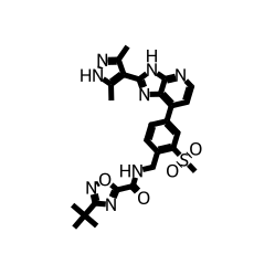 Cc1n[nH]c(C)c1-c1nc2c(-c3ccc(CNC(=O)c4nc(C(C)(C)C)no4)c(S(C)(=O)=O)c3)ccnc2[nH]1